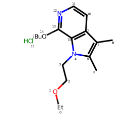 CCOCCn1c(C)c(C)c2ccnc(OCC(C)C)c21.Cl